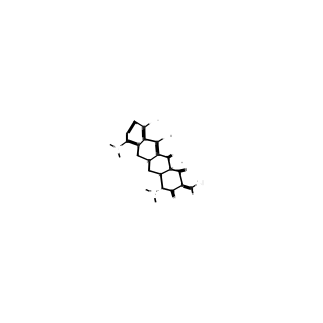 CN(C)c1ccc(O)c2c1C[C@@H]1C[C@@H]3[C@H](N(C)C)C(=O)/C(=C(/N)O)C(=O)[C@]3(O)C(=O)C1=C2O